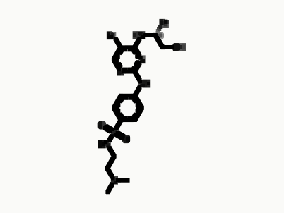 CC[C@H](CO)Nc1nc(Nc2ccc(S(=O)(=O)NCCN(C)C)cc2)ncc1Br